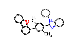 Cc1cc(-c2nc3ccccc3n2-c2ccccc2)c(C)cc1-c1cccc2c1oc1ccccc12